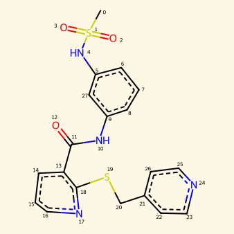 CS(=O)(=O)Nc1cccc(NC(=O)c2cccnc2SCc2ccncc2)c1